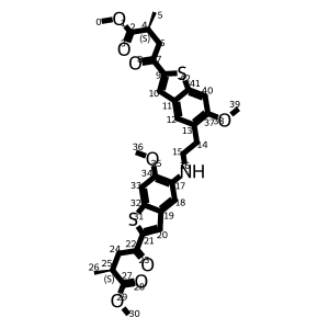 COC(=O)[C@@H](C)CC(=O)c1cc2cc(CCNc3cc4cc(C(=O)C[C@H](C)C(=O)OC)sc4cc3OC)c(OC)cc2s1